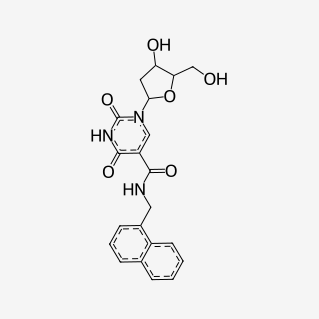 O=C(NCc1cccc2ccccc12)c1cn(C2CC(O)C(CO)O2)c(=O)[nH]c1=O